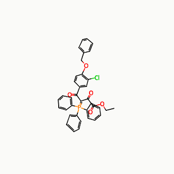 CCOC(=O)C(=O)C(C(=O)c1ccc(OCc2ccccc2)c(Cl)c1)=P(c1ccccc1)(c1ccccc1)c1ccccc1